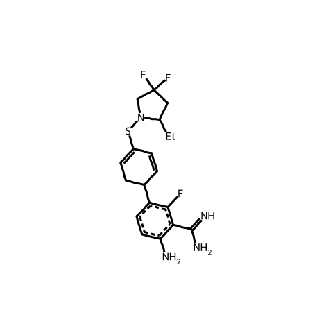 CCC1CC(F)(F)CN1SC1=CCC(c2ccc(N)c(C(=N)N)c2F)C=C1